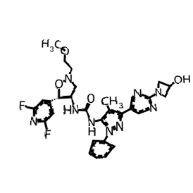 COCCN1C[C@@H](NC(=O)Nc2c(C)c(-c3cnc(N4CC(O)C4)nc3)nn2-c2ccccc2)[C@H](c2cc(F)nc(F)c2)O1